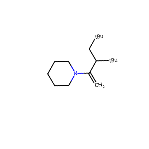 C=C(C(CC(C)(C)C)C(C)(C)C)N1CCCCC1